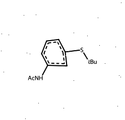 CC(=O)Nc1cccc(SC(C)(C)C)c1